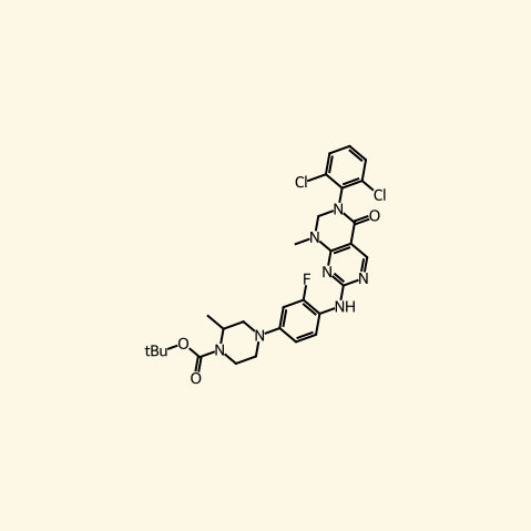 CC1CN(c2ccc(Nc3ncc4c(n3)N(C)CN(c3c(Cl)cccc3Cl)C4=O)c(F)c2)CCN1C(=O)OC(C)(C)C